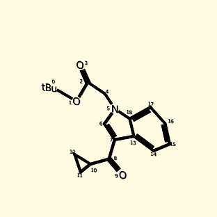 CC(C)(C)OC(=O)Cn1cc(C(=O)C2CC2)c2ccccc21